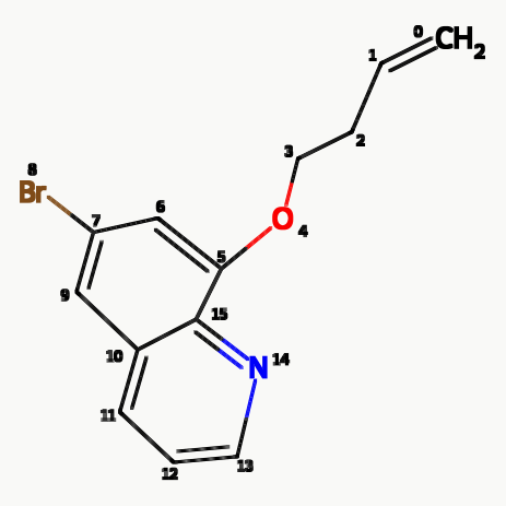 C=CCCOc1cc(Br)cc2cccnc12